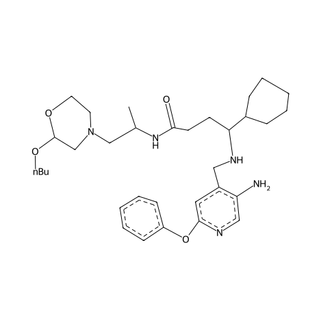 CCCCOC1CN(CC(C)NC(=O)CCC(NCc2cc(Oc3ccccc3)ncc2N)C2CCCCC2)CCO1